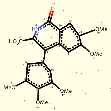 COc1cc2c(-c3cc(OC)c(OC)c(OC)c3)c(C(=O)O)[nH]c(=O)c2cc1OC